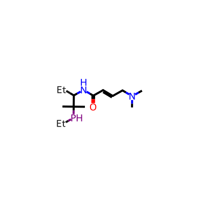 CCPC(C)(C)C(CC)NC(=O)/C=C/CN(C)C